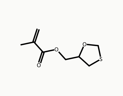 C=C(C)C(=O)OCC1CSCO1